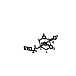 CCOC(=O)C12COP(=O)(OC1)OC2